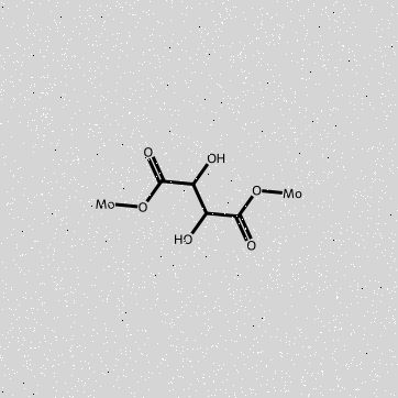 O=C([O][Mo])C(O)C(O)C(=O)[O][Mo]